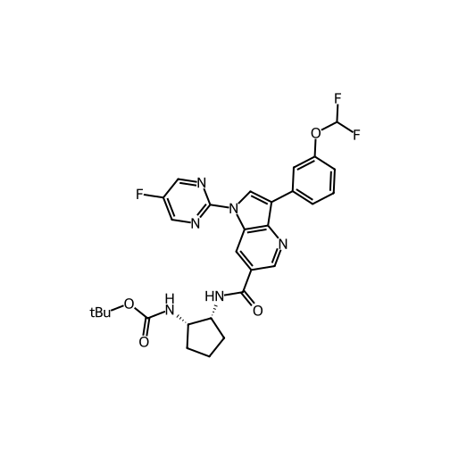 CC(C)(C)OC(=O)N[C@H]1CCC[C@H]1NC(=O)c1cnc2c(-c3cccc(OC(F)F)c3)cn(-c3ncc(F)cn3)c2c1